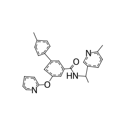 Cc1ccc(-c2cc(Oc3ccccn3)cc(C(=O)NC(C)c3ccc(C)nc3)c2)cc1